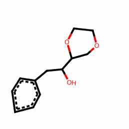 OC(Cc1ccccc1)C1COCCO1